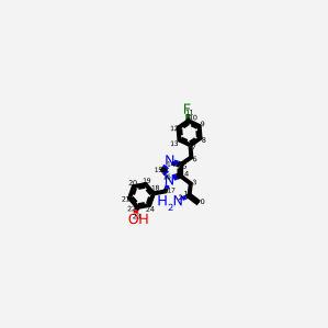 C=C(N)Cc1c(Cc2ccc(F)cc2)ncn1Cc1cccc(O)c1